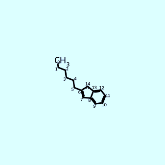 CCCCCCC1=Cc2ccccc2[C]1